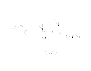 COCCC(=O)c1cn(C(=O)OC(C)(C)C)c2nccc(N[C@@H]3CCCN(C(=O)OC(C)(C)C)C3)c12